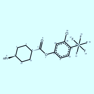 CCC[C@H]1CC[C@H](C(=O)Oc2ccc(S(F)(F)(F)(F)F)c(Cl)c2)CC1